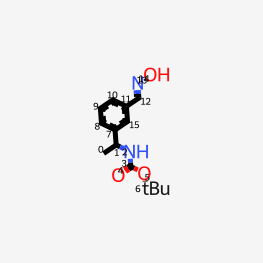 CC(NC(=O)OC(C)(C)C)c1cccc(/C=N/O)c1